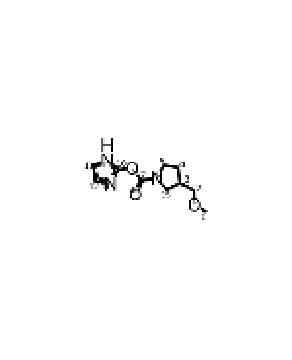 COCC1CCN(C(=O)Oc2ncc[nH]2)C1